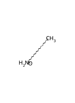 CCCC=CCCC=CC=CC=CC=CC=CC(N)=O